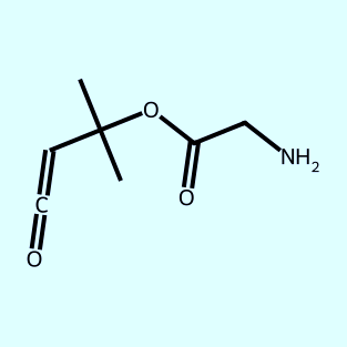 CC(C)(C=C=O)OC(=O)CN